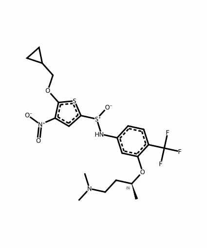 C[C@@H](CCN(C)C)Oc1cc(N[S+]([O-])c2cc([N+](=O)[O-])c(OCC3CC3)s2)ccc1C(F)(F)F